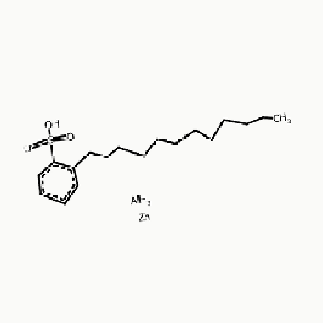 CCCCCCCCCCCCc1ccccc1S(=O)(=O)O.[AlH3].[Zn]